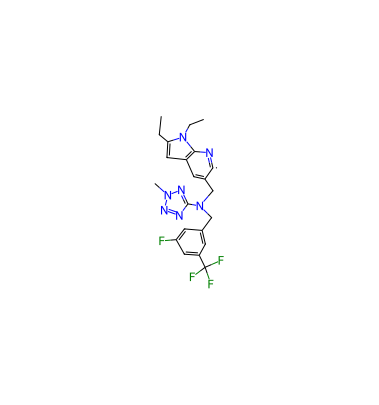 CCc1cc2cc(CN(Cc3cc(F)cc(C(F)(F)F)c3)c3nnn(C)n3)[c]nc2n1CC